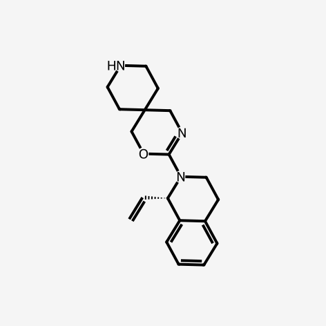 C=C[C@H]1c2ccccc2CCN1C1=NCC2(CCNCC2)CO1